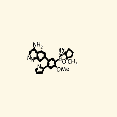 COc1cc(C2C=CC=N2)c(-c2ccc3c(N)cnnc3c2)cc1B1OC2(C(C)C)CCC[C@]2(C)O1